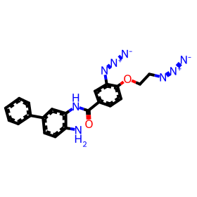 [N-]=[N+]=NCCOc1ccc(C(=O)Nc2cc(-c3ccccc3)ccc2N)cc1N=[N+]=[N-]